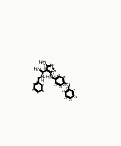 N=C(NCC1=CC=CCC1)c1c(O)nsc1Nc1ccc(Oc2ccccc2)cc1